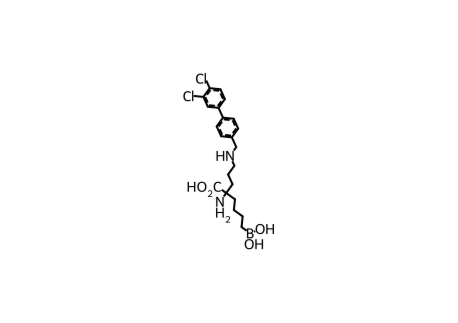 NC(CCCCB(O)O)(CCCNCc1ccc(-c2ccc(Cl)c(Cl)c2)cc1)C(=O)O